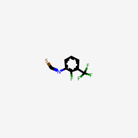 Fc1c(N=C=S)cccc1C(F)(F)F